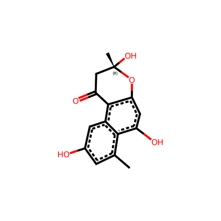 Cc1cc(O)cc2c3c(cc(O)c12)O[C@@](C)(O)CC3=O